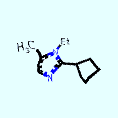 CCn1c(C)cnc1C1CCC1